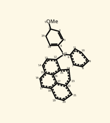 COC1C=CC(N(c2ccccc2)c2ccc3ccc4cccc5ccc2c3c45)=CC1